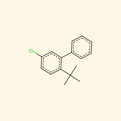 CC(C)(C)c1ccc(Cl)cc1-c1ccccc1